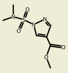 COC(=O)c1cnn(S(=O)(=O)N(C)C)c1